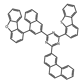 c1ccc2c(-c3cccc4oc5ccccc5c34)cc(-c3nc(-c4ccc5ccc6ccccc6c5c4)nc(-c4cccc5c4sc4ccccc45)n3)cc2c1